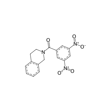 O=C(c1cc([N+](=O)[O-])cc([N+](=O)[O-])c1)N1CCc2ccccc2C1